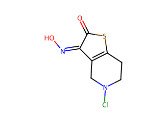 O=C1SC2=C(CN(Cl)CC2)C1=NO